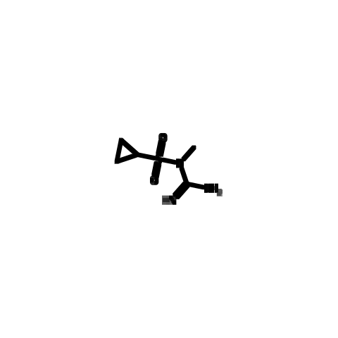 CN(C(=N)N)S(=O)(=O)C1CC1